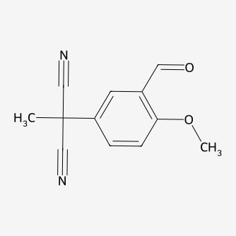 COc1ccc(C(C)(C#N)C#N)cc1C=O